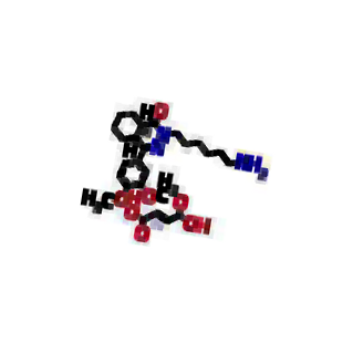 COc1ccc(C2=NN(CCCCCCN)C(=O)[C@@H]3CCCC[C@H]23)cc1OC.O=C(O)/C=C/C(=O)O